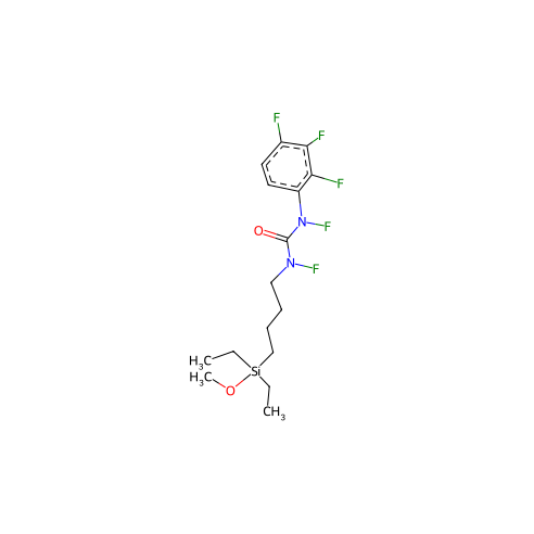 CC[Si](CC)(CCCCN(F)C(=O)N(F)c1ccc(F)c(F)c1F)OC